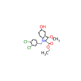 CCOC(=O)c1c(OC)c2cc(O)ccc2n1Cc1ccc(Cl)c(Cl)c1